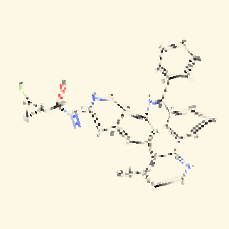 COc1ccncc1-c1cc(N=C(c2ccccc2)c2ccccc2)c2cnc(NC(=O)C3CC3F)cc2c1